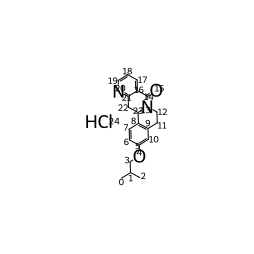 CC(C)COc1ccc2c(c1)CCN1C(=O)c3cccnc3CC21.Cl